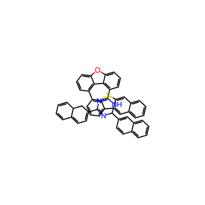 C1=CC2=CC=C(C3=NC(c4ccc5ccccc5c4)NC(c4cccc5oc6cccc(-c7cccc8c7sc7cc9ccccc9cc78)c6c45)=N3)CC2C=C1